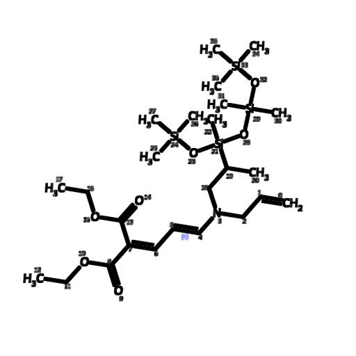 C=CCN(/C=C/C=C(C(=O)OCC)C(=O)OCC)CC(C)[Si](C)(O[Si](C)(C)C)O[Si](C)(C)O[Si](C)(C)C